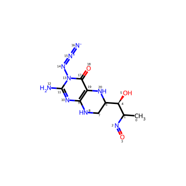 CC(N=O)[C@H](O)C1CNc2nc(N)n(N=[N+]=[N-])c(=O)c2N1